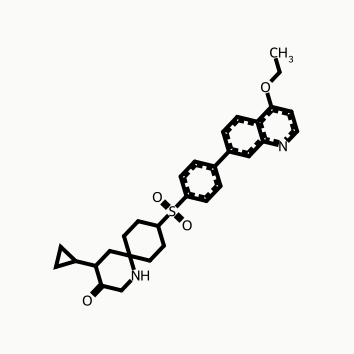 CCOc1ccnc2cc(-c3ccc(S(=O)(=O)C4CCC5(CC4)CC(C4CC4)C(=O)CN5)cc3)ccc12